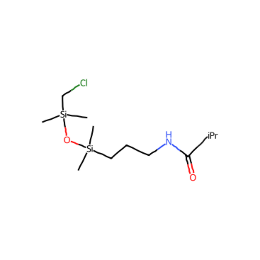 CC(C)C(=O)NCCC[Si](C)(C)O[Si](C)(C)CCl